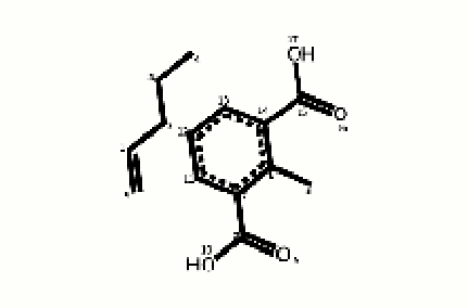 C=CCCC.Cc1c(C(=O)O)cccc1C(=O)O